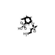 CS(=O)(=O)CCN.Cc1ccccc1S(=O)(=O)O